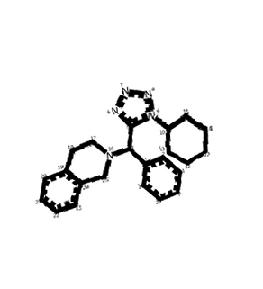 c1ccc(C(c2nnnn2C2CCCCC2)N2CCc3ccccc3C2)cc1